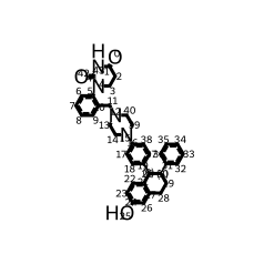 O=C1CCN(c2ccccc2CN2CCN(c3ccc([C@@H]4c5ccc(O)cc5CC[C@@H]4c4ccccc4)cc3)CC2)C(=O)N1